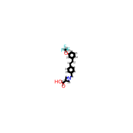 O=C(O)C1CN(Cc2ccc(CCc3cccc(OC(F)(F)F)c3)cc2)C1